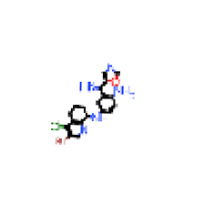 N=C(c1cnco1)c1cc(NC2CCCc3c2ncc(Br)c3Cl)ccc1N